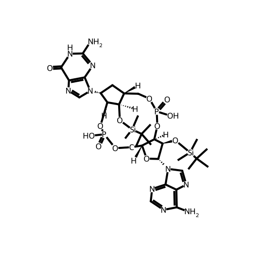 CC(C)(C)[Si](C)(C)O[C@@H]1[C@H]2COP(=O)(O)O[C@H]3[C@@H](O[Si](C)(C)C(C)(C)C)[C@H](n4cnc5c(N)ncnc54)O[C@@H]3COP(=O)(O)O[C@H]1[C@H](n1cnc3c(=O)[nH]c(N)nc31)C2